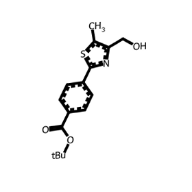 Cc1sc(-c2ccc(C(=O)OC(C)(C)C)cc2)nc1CO